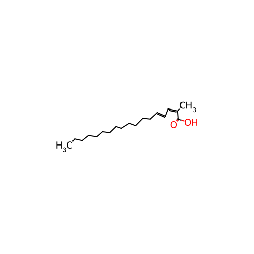 CCCCCCCCCCCCCC=CC=C(C)C(=O)O